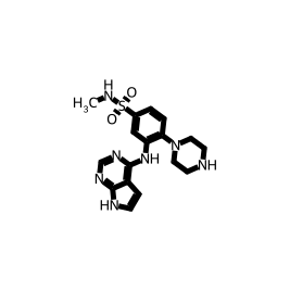 CNS(=O)(=O)c1ccc(N2CCNCC2)c(Nc2ncnc3[nH]ccc23)c1